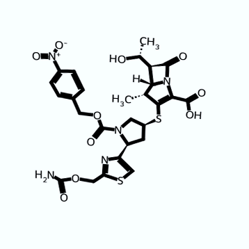 C[C@@H](O)[C@H]1C(=O)N2C(C(=O)O)=C(S[C@H]3C[C@@H](c4csc(COC(N)=O)n4)N(C(=O)OCc4ccc([N+](=O)[O-])cc4)C3)[C@H](C)[C@H]12